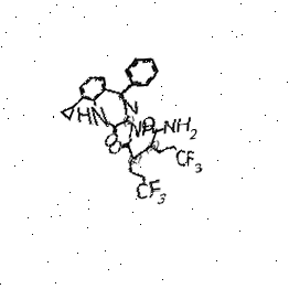 NC(=O)[C@@H](CCC(F)(F)F)[C@@H](CCC(F)(F)F)C(=O)N[C@H]1N=C(c2ccccc2)c2cccc(C3CC3)c2NC1=O